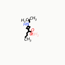 BOC(=O)C(CCCC)C1CC(NCC(C)C)C1